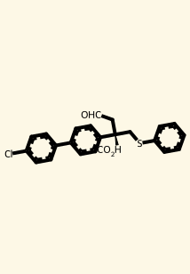 O=CC[C@@](CSc1ccccc1)(C(=O)O)c1ccc(-c2ccc(Cl)cc2)cc1